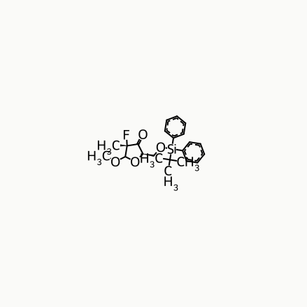 COC1O[C@H](CO[Si](c2ccccc2)(c2ccccc2)C(C)(C)C)C(=O)[C@@]1(C)F